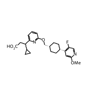 COc1cc([C@H]2CC[C@@H](COc3cccc(C(CC(=O)O)C4CC4)n3)CC2)c(F)cn1